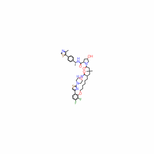 Cc1ncsc1-c1ccc([C@H](C)NC(=O)C2C[C@@H](O)CN2C(=O)CC(C)(C)CC(CCCCCCOc2c(-c3csc(N4CCOCC4)n3)ccc(F)c2F)C(N)=O)cc1